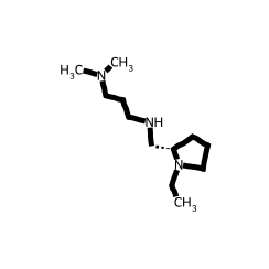 CCN1CCC[C@H]1CNCCCN(C)C